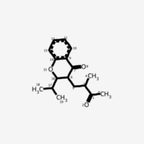 CC(=O)C(C)CC1C(=O)c2ccccc2OC1C(C)C